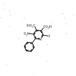 CCOC(=O)c1c(Cl)nc(-c2ccccc2)c([N+](=O)[O-])c1C(=O)OCC